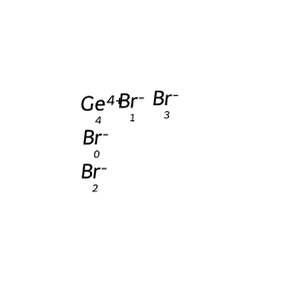 [Br-].[Br-].[Br-].[Br-].[Ge+4]